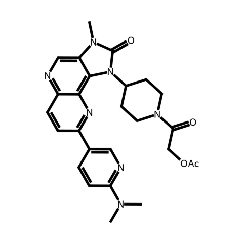 CC(=O)OCC(=O)N1CCC(n2c(=O)n(C)c3cnc4ccc(-c5ccc(N(C)C)nc5)nc4c32)CC1